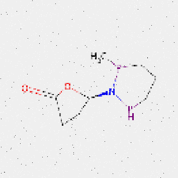 CP1CCCPN1[C@H]1CCC(=O)O1